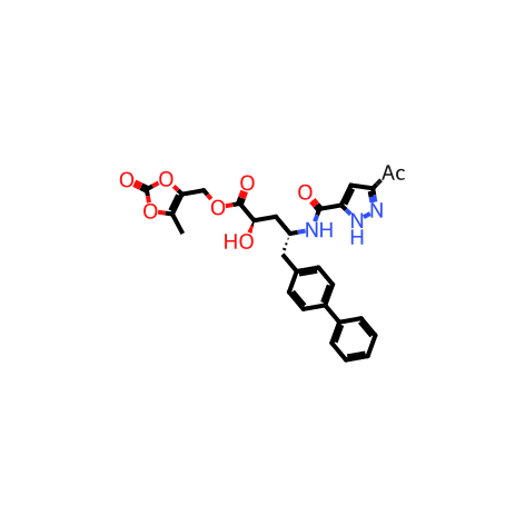 CC(=O)c1cc(C(=O)N[C@H](Cc2ccc(-c3ccccc3)cc2)C[C@@H](O)C(=O)OCc2oc(=O)oc2C)[nH]n1